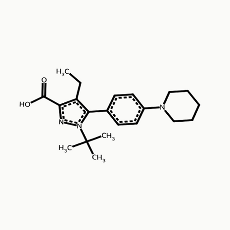 CCc1c(C(=O)O)nn(C(C)(C)C)c1-c1ccc(N2CCCCC2)cc1